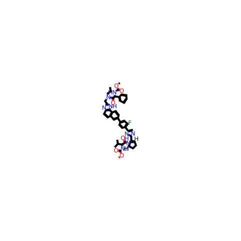 CCCN(Cc1nc2ccc3cc(-c4ccc(-c5cnc(C6[C@H]7CC[C@H](C7)N6C(=O)[C@@H](NC(=O)OC)C(C)C)[nH]5)c(F)c4)ccc3c2[nH]1)C(=O)[C@H](NC(=O)OC)c1ccccc1